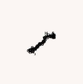 C[C@@H](C(=O)Nc1cccc(OC2CCN(C(=O)CN3CCC(N4CCN(c5ccc6c(c5)C(=O)N(C5CCC(=O)N(C)C5=O)C6=O)CC4)CC3)CC2)c1)[C@H]1CC[C@@H](c2ccnc3ccc(F)cc32)CC1